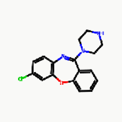 Clc1ccc2c(c1)Oc1ccccc1C(N1CCNCC1)=N2